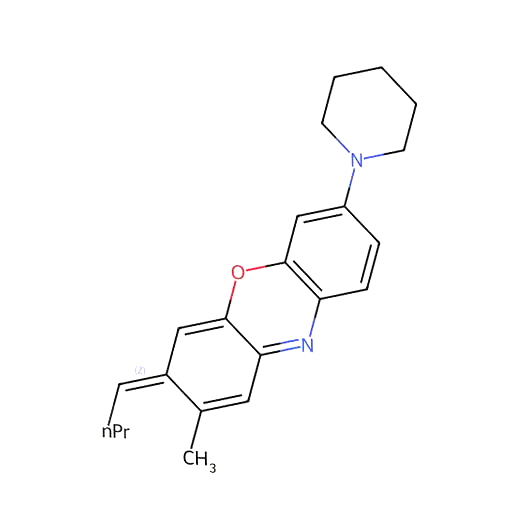 CCC/C=c1/cc2c(cc1C)=Nc1ccc(N3CCCCC3)cc1O2